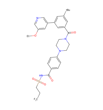 CCOc1cncc(-c2cc(C(=O)N3CCN(c4ccc(C(=O)NS(=O)(=O)CCC(F)(F)F)cc4)CC3)cc(C(C)(C)C)c2)c1